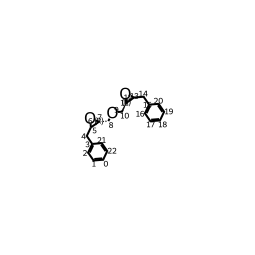 c1ccc(CC2O[C@@H]2COC[C@H]2OC2Cc2ccccc2)cc1